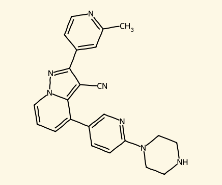 Cc1cc(-c2nn3cccc(-c4ccc(N5CCNCC5)nc4)c3c2C#N)ccn1